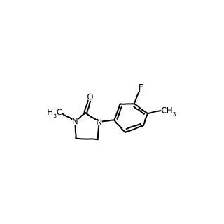 Cc1ccc(N2CCN(C)C2=O)cc1F